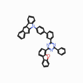 c1ccc(-c2nc(-c3cccc(-c4ccc(-n5c6ccccc6c6cc7ccccc7cc65)cc4)c3)nc(-c3cccc4c3oc3ccccc34)n2)cc1